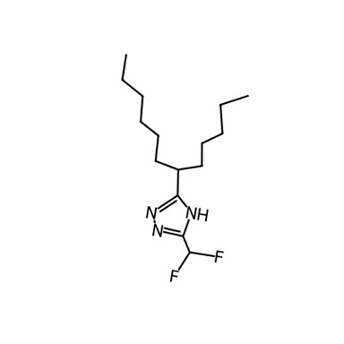 CCCCCCC(CCCCC)c1nnc(C(F)F)[nH]1